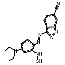 CCN(CC)c1ccc(/N=N/c2noc3cc(C#N)ccc23)c(NS)c1